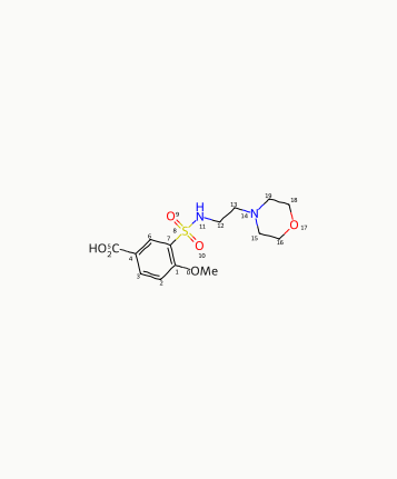 COc1ccc(C(=O)O)cc1S(=O)(=O)NCCN1CCOCC1